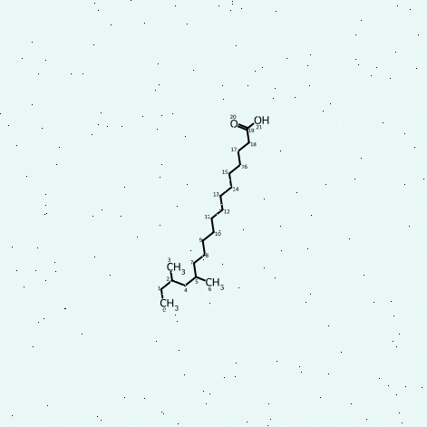 CCC(C)CC(C)CCCCCCCCCCCCC(=O)O